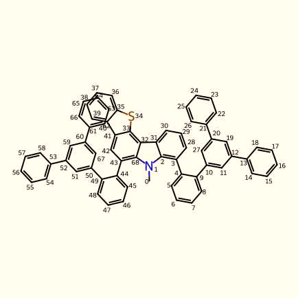 Cn1c2c(-c3ccccc3-c3cc(-c4ccccc4)cc(-c4ccccc4)c3)cccc2c2c3sc4ccccc4c3cc(-c3ccccc3-c3cc(-c4ccccc4)cc(-c4ccccc4)c3)c21